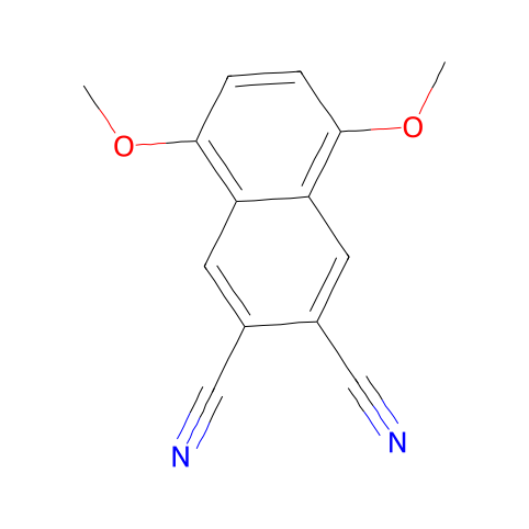 COc1ccc(OC)c2cc(C#N)c(C#N)cc12